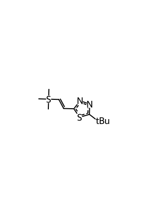 CC(C)(C)c1nnc(/C=C/S(C)(C)C)s1